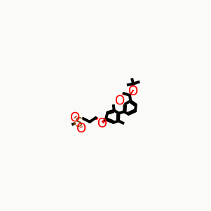 Cc1cc(OCCCS(C)(=O)=O)cc(C)c1-c1cccc2c1OC[C@H]2OC(C)(C)C